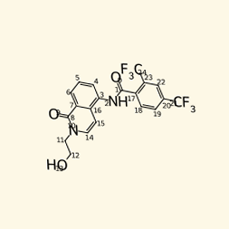 O=C(Nc1cccc2c(=O)n(CCO)ccc12)c1ccc(C(F)(F)F)cc1C(F)(F)F